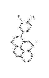 C[n+]1ccc(-c2ccc3ccc4cccc5ccc2c3c45)cc1F.[I-]